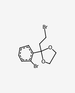 BrCCC1(c2ccccc2Br)OCCO1